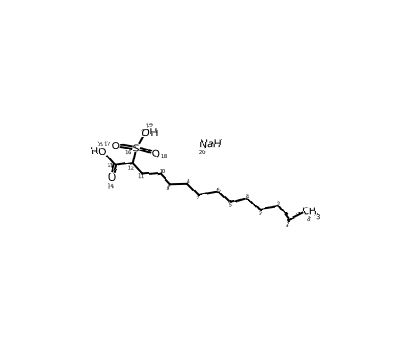 CCCCCCCCCCCCC(C(=O)O)S(=O)(=O)O.[NaH]